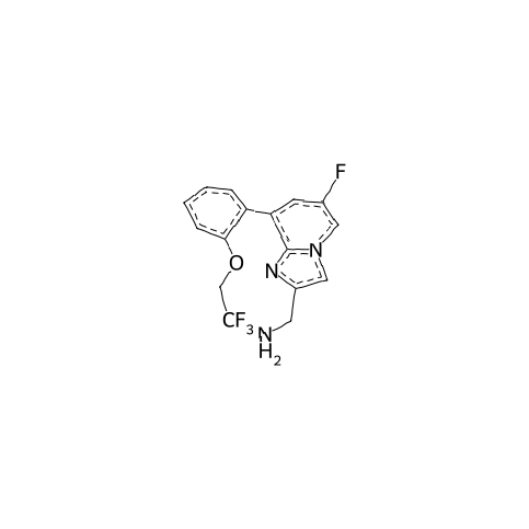 NCc1cn2cc(F)cc(-c3ccccc3OCC(F)(F)F)c2n1